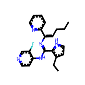 CCC/C=C(/N=C(/Nc1ccncc1F)c1[nH]ccc1CC)c1ccccn1